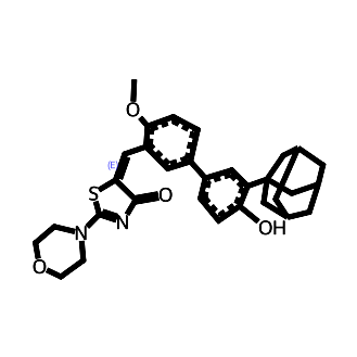 COc1ccc(-c2ccc(O)c(C34CC5CC(CC(C5)C3)C4)c2)cc1/C=C1/SC(N2CCOCC2)=NC1=O